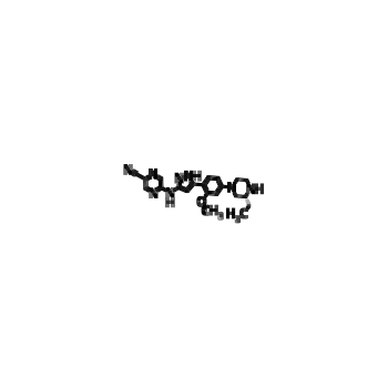 CC[C@@H]1CN(c2ccc(-c3cc(Nc4cnc(C#N)cn4)n[nH]3)c(OC)c2)CCN1